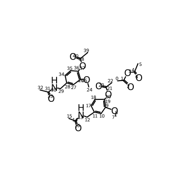 CC(=O)OC(C)=O.COc1cc(CNC(C)=O)ccc1OC(C)=O.COc1cc(CNC(C)=O)ccc1OC(C)=O